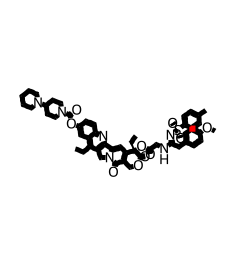 CCc1c2c(nc3ccc(OC(=O)N4CCC(N5CCCCC5)CC4)cc13)-c1cc3c(c(=O)n1C2)COC(=O)[C@@]3(CC)OC(=O)CNC(Cc1ccc(OC)cc1)=NS(=O)(=O)c1ccc(C)cc1